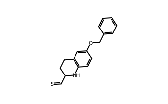 S=CC1CCc2cc(OCc3ccccc3)ccc2N1